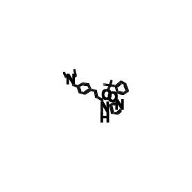 CCN(CC)Cc1ccc(/C=C/C(=O)Nc2cccnc2Oc2ccccc2C(C)(C)C)cc1